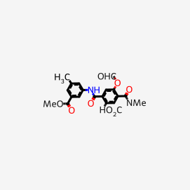 CNC(=O)c1cc(C(=O)O)c(C(=O)Nc2cc(C)cc(C(=O)OC)c2)cc1OC=O